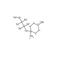 [2H]OC([2H])([2H])C([2H])([2H])OC1(C)CCC(C(C)C)CC1